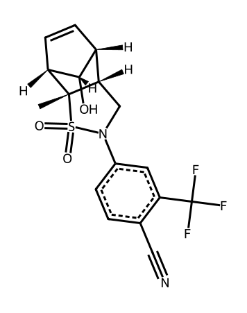 C[C@@]12[C@@H]3C=C[C@@H]([C@@H]3O)[C@@H]1CN(c1ccc(C#N)c(C(F)(F)F)c1)S2(=O)=O